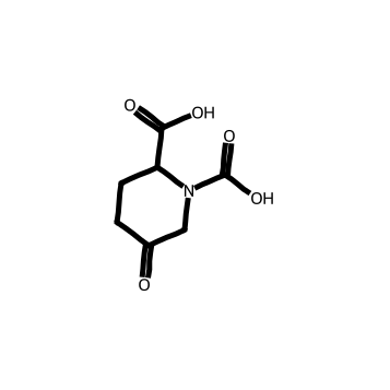 O=C1CCC(C(=O)O)N(C(=O)O)C1